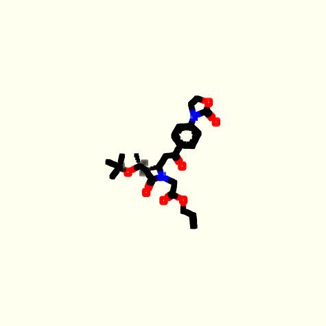 C=CCOC(=O)CN1C(=O)[C@H]([C@@H](C)O[Si](C)(C)C)C1CC(=O)c1ccc(N2CCOC2=O)cc1